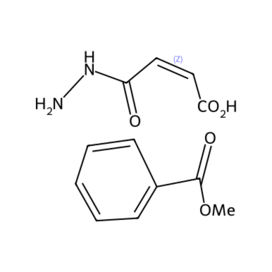 COC(=O)c1ccccc1.NNC(=O)/C=C\C(=O)O